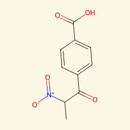 CC(C(=O)c1ccc(C(=O)O)cc1)[N+](=O)[O-]